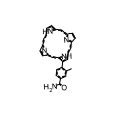 Cc1cc(C(N)=O)ccc1-c1cc2cc3nc(cc4ccc(cc5nc(cc1[nH]2)C=C5)[nH]4)C=C3